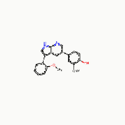 COc1cc(-c2cnc3[nH]cc(-c4ccccc4OC(F)(F)F)c3c2)ccc1O